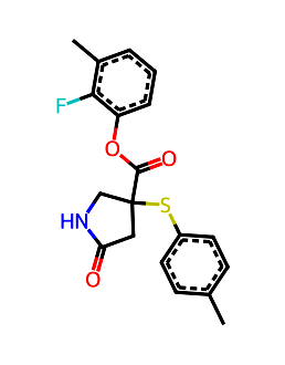 Cc1ccc(SC2(C(=O)Oc3cccc(C)c3F)CNC(=O)C2)cc1